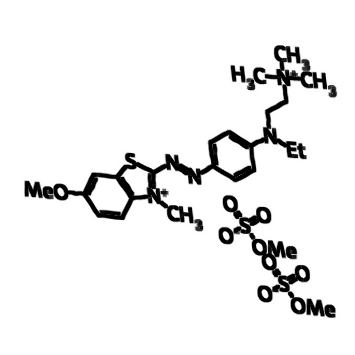 CCN(CC[N+](C)(C)C)c1ccc(N=Nc2sc3cc(OC)ccc3[n+]2C)cc1.COS(=O)(=O)[O-].COS(=O)(=O)[O-]